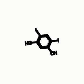 Oc1cc(O)c(I)cc1I